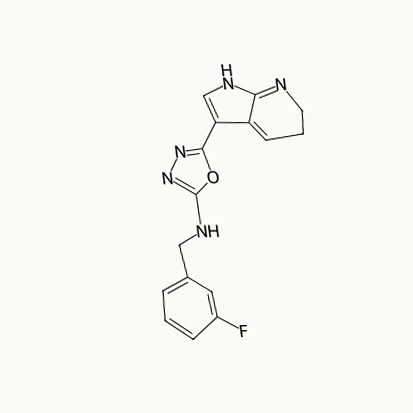 Fc1cccc(CNc2nnc(-c3c[nH]c4c3=CCCN=4)o2)c1